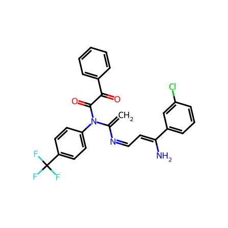 C=C(/N=C\C=C(/N)c1cccc(Cl)c1)N(C(=O)C(=O)c1ccccc1)c1ccc(C(F)(F)F)cc1